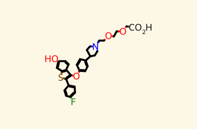 O=C(O)COCCOCCN1CCC(c2ccc(Oc3c(-c4ccc(F)cc4)sc4cc(O)ccc34)cc2)CC1